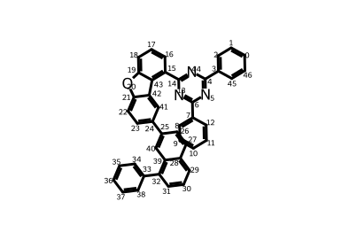 c1ccc(-c2nc(-c3ccccc3)nc(-c3cccc4oc5ccc(-c6ccc7cccc(-c8ccccc8)c7c6)cc5c34)n2)cc1